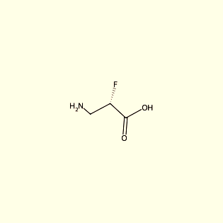 NC[C@H](F)C(=O)O